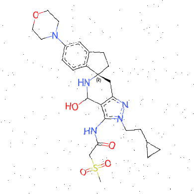 CS(=O)(=O)CC(=O)Nc1c2c(nn1CCC1CC1)C[C@@]1(CCc3cc(N4CCOCC4)ccc31)NC2O